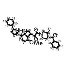 COc1cnc(-n2ccc(-c3ccccc3)n2)c2[nH]cc(C(=O)C(=O)N3CCN(C(=O)c4ccccc4)[C@H](C)C3)c12